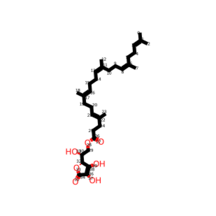 CC(C)=CCCC(C)=CCCC(C)=CCCC=C(C)CCC=C(C)CCC(=O)OC[C@H](O)[C@H]1OC(=O)C(O)=C1O